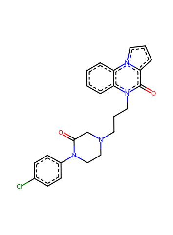 O=C1CN(CCCn2c(=O)c3cccn3c3ccccc32)CCN1c1ccc(Cl)cc1